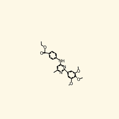 CCOC(=O)c1ccc(Nc2cc(C)nc(-c3cc(OC)c(OC)c(OC)c3)n2)cc1